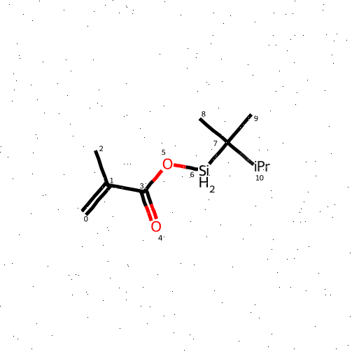 C=C(C)C(=O)O[SiH2]C(C)(C)C(C)C